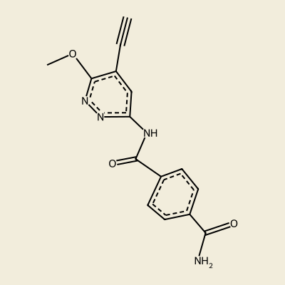 C#Cc1cc(NC(=O)c2ccc(C(N)=O)cc2)nnc1OC